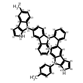 Cc1ccc(-n2c3ccc(-c4ccccc4-n4c5ccc(-n6c7ccc(C)cc7c7cc[nH]c76)cc5c5cccnc54)cc3c3cc[nH]c32)cc1